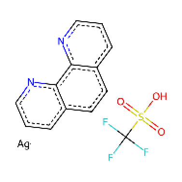 O=S(=O)(O)C(F)(F)F.[Ag].c1cnc2c(c1)ccc1cccnc12